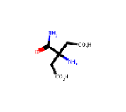 NC(=O)C(N)(CC(=O)O)CC(=O)O